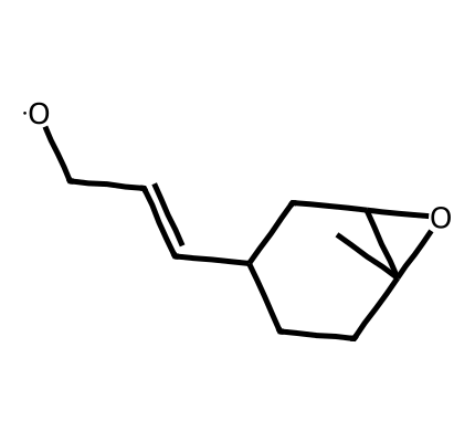 CC12CCC(C=CC[O])CC1O2